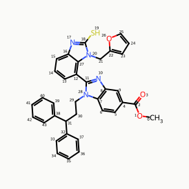 COC(=O)c1ccc2c(c1)nc(-c1cccc3nc(S)n(Cc4ccco4)c13)n2CCC(c1ccccc1)c1ccccc1